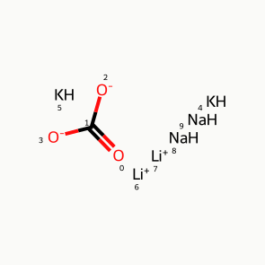 O=C([O-])[O-].[KH].[KH].[Li+].[Li+].[NaH].[NaH]